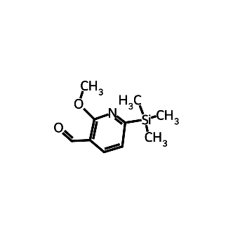 COc1nc([Si](C)(C)C)ccc1C=O